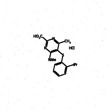 CNc1nc(C(=O)O)nc(C)c1Sc1ccccc1C(C)C.Cl